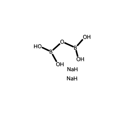 OB(O)OB(O)O.[NaH].[NaH]